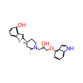 C[C@@H]1C[C@@H](c2cc3c(O)cccc3s2)CCN1C[C@H](O)COc1cccc2[nH]ccc12